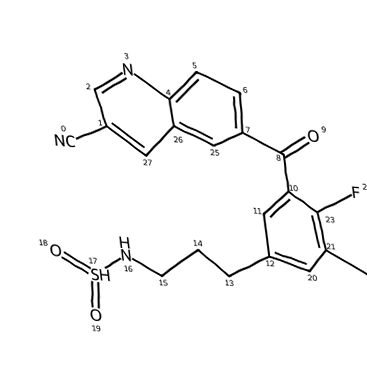 N#Cc1cnc2ccc(C(=O)c3cc(CCCN[SH](=O)=O)cc(F)c3F)cc2c1